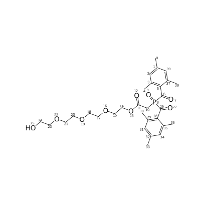 Cc1cc(C)c(C(=O)P(=O)(CC(=O)OCCOCCOCCOCCO)C(=O)c2c(C)cc(C)cc2C)c(C)c1